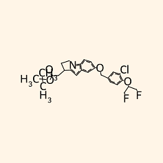 CC(C)(C)OC(=O)CC1CCn2c1cc1cc(OCc3ccc(OC(CF)CF)c(Cl)c3)ccc12